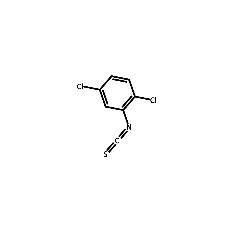 S=C=Nc1cc(Cl)ccc1Cl